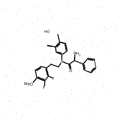 COc1ccc(CCN(C(=O)C(N)c2ccccc2)c2ccc(C)c(C)c2)c(F)c1F.Cl